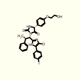 C[C@H](c1ccccc1)[C@@H](c1nc(Cl)c(-c2ccc(I)cc2)[nH]1)N1C(=O)N[C@H](c2ccc(OCCO)cc2)C1=O